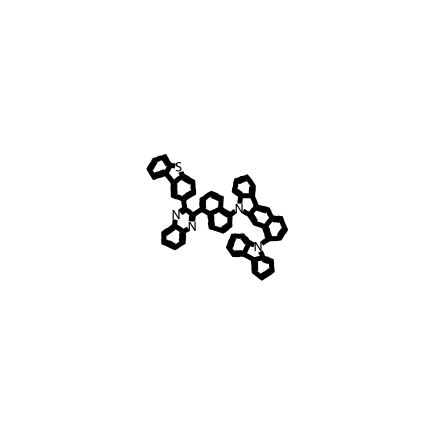 c1cc(-n2c3ccccc3c3ccccc32)c2cc3c(cc2c1)c1ccccc1n3-c1cccc2c(-c3nc4ccccc4nc3-c3ccc4sc5ccccc5c4c3)cccc12